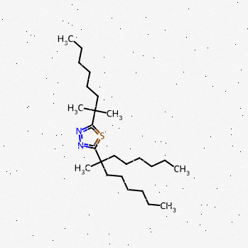 CCCCCCC(C)(C)c1nnc(C(C)(CCCCCC)CCCCCC)s1